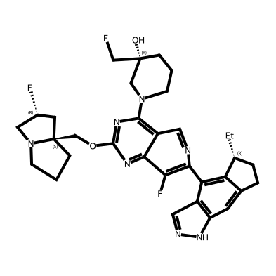 CC[C@@H]1CCc2cc3[nH]ncc3c(-c3ncc4c(N5CCC[C@](O)(CF)C5)nc(OC[C@@]56CCCN5C[C@H](F)C6)nc4c3F)c21